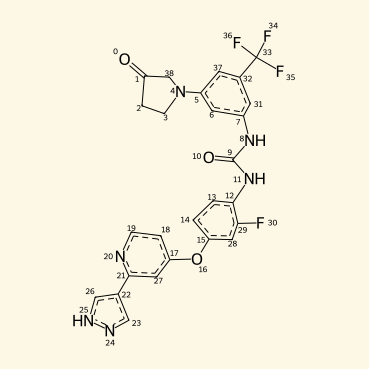 O=C1CCN(c2cc(NC(=O)Nc3ccc(Oc4ccnc(-c5cn[nH]c5)c4)cc3F)cc(C(F)(F)F)c2)C1